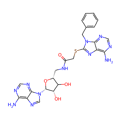 Nc1ncnc2c1ncn2[C@@H]1O[C@H](CNC(=O)CSc2nc3c(N)ncnc3n2Cc2ccccc2)C(O)[C@@H]1O